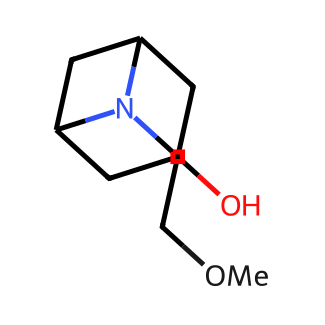 COCCN1C2CC(O)CC1C2